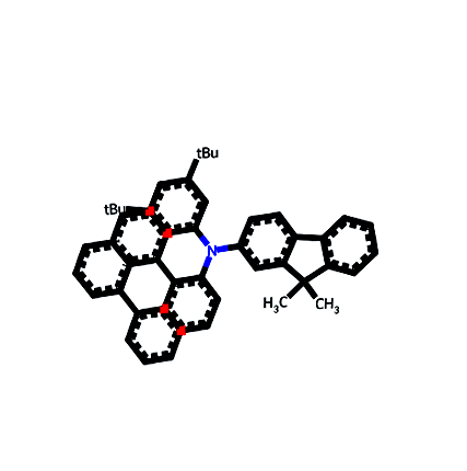 CC(C)(C)c1cc(N(c2ccc3c(c2)C(C)(C)c2ccccc2-3)c2ccccc2-c2cccc3cccc(-c4ccccc4)c23)cc(C(C)(C)C)c1